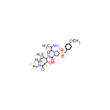 COc1ccc(CS(=O)(=O)[C@@H]2C[C@@H](C(=O)NC(C(C)C)C(O)C(F)(F)C(=O)NCC(F)(F)F)N(C(=O)C(C)N)C2)cc1